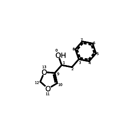 OC(Cc1ccccc1)C1=COCO1